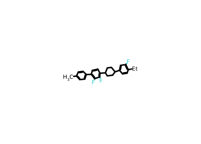 CCc1ccc(C2CCC(c3ccc(-c4ccc(C)cc4)c(F)c3F)CC2)cc1F